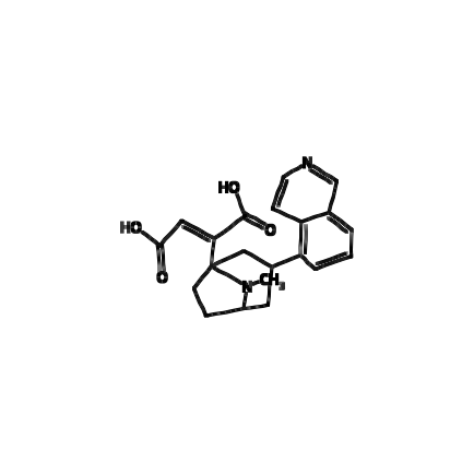 CN1C2CCC1(/C(=C\C(=O)O)C(=O)O)CC(c1cccc3cnccc13)C2